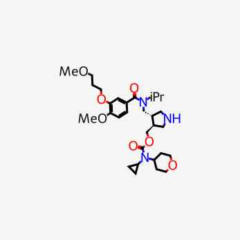 COCCCOc1cc(C(=O)N(C[C@@H]2CNC[C@H]2COC(=O)N(C2CCOCC2)C2CC2)C(C)C)ccc1OC